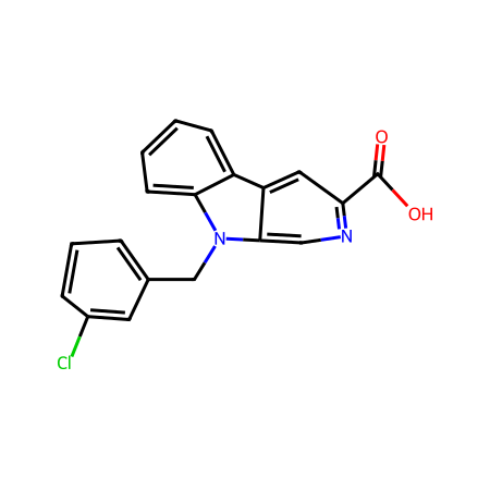 O=C(O)c1cc2c3ccccc3n(Cc3cccc(Cl)c3)c2cn1